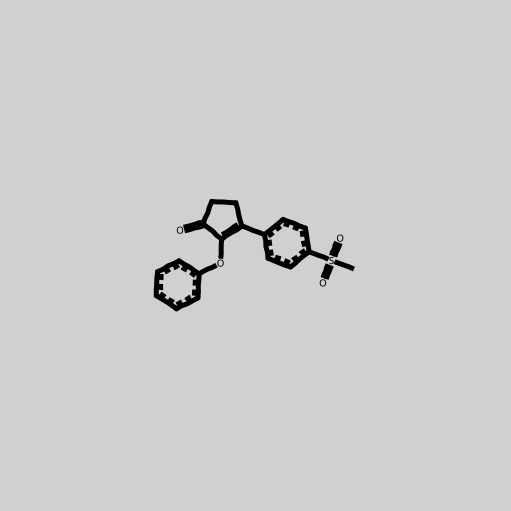 CS(=O)(=O)c1ccc(C2=C(Oc3ccccc3)C(=O)CC2)cc1